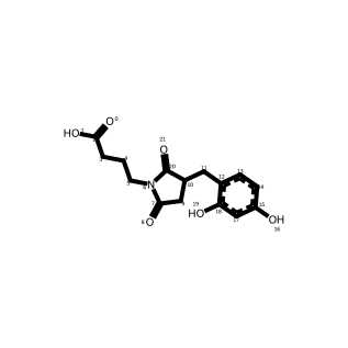 O=C(O)CCCN1C(=O)CC(Cc2ccc(O)cc2O)C1=O